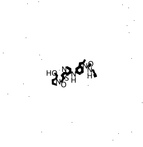 C#CCNC(=O)n1c(C)cc2cc(Nc3ccnc4cc(C(=O)N5CCCC5CO)sc34)ccc21